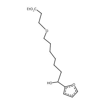 CCOC(=O)CCOCCCCCCC(O)c1ccco1